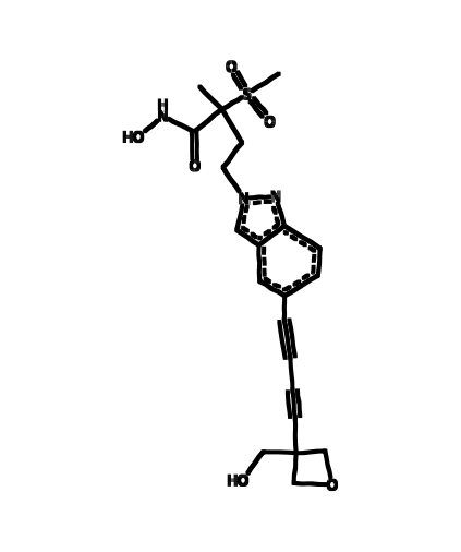 CC(CCn1cc2cc(C#CC#CC3(CO)COC3)ccc2n1)(C(=O)NO)S(C)(=O)=O